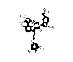 Cc1cc(OCCCc2c3n(c4c(-c5c(C)nn(C)c5C)c(Cl)ccc24)C(C)CN(c2cn(C)c4ccc(C(=O)NO)cc24)C3=O)cc(C)c1Cl